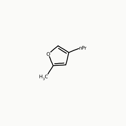 [CH2]CCc1coc(C)c1